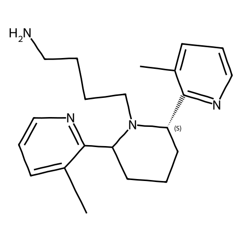 Cc1cccnc1C1CCC[C@@H](c2ncccc2C)N1CCCCN